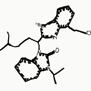 CC(C)CCC(c1nc2c(CCl)cccc2[nH]1)n1c(=O)n(C(C)C)c2ccccc21